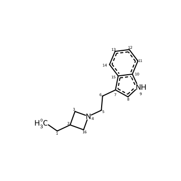 CCC1CN(CCc2c[nH]c3ccccc23)C1